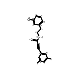 Cc1cc(C)cc(C#CC(=O)NCCc2cccc(Cl)c2)c1